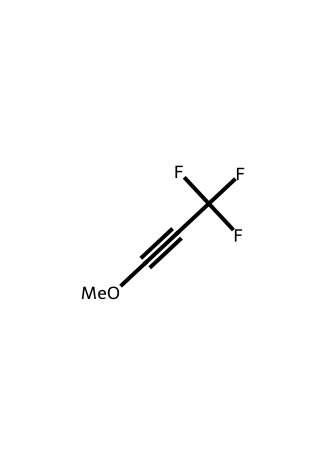 [CH2]OC#CC(F)(F)F